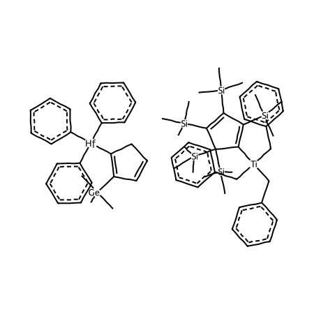 C[Si](C)(C)C1=C([Si](C)(C)C)C([Si](C)(C)C)([Si](C)(C)C)[C]([Ti]([CH2]c2ccccc2)([CH2]c2ccccc2)[CH2]c2ccccc2)=C1[Si](C)(C)C.[CH3][Ge]([CH3])([CH3])[C]1=[C]([Hf]([c]2ccccc2)([c]2ccccc2)[c]2ccccc2)CC=C1